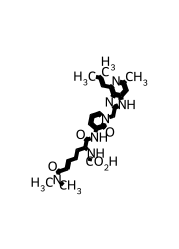 CC(C)=Cc1nc(C)cc2[nH]c(Cn3cccc(NC(=O)C(CC/C=C/C(=O)N(C)C)NC(=O)O)c3=O)nc12